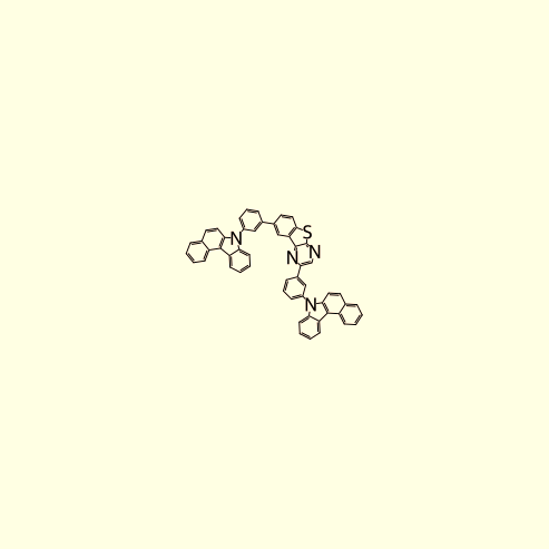 c1cc(-c2ccc3sc4ncc(-c5cccc(-n6c7ccccc7c7c8ccccc8ccc76)c5)nc4c3c2)cc(-n2c3ccccc3c3c4ccccc4ccc32)c1